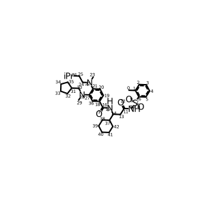 Cc1ccccc1S(=O)(=O)NC(=O)CC(NC(=O)c1ccc(N(C)CCC(C)C)c(N(C)CC2CCCC2)c1)C1CCCCC1